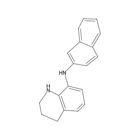 c1cc2c(c(Nc3ccc4ccccc4c3)c1)NCCC2